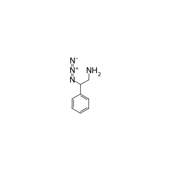 [N-]=[N+]=NC(CN)c1ccccc1